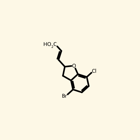 O=C(O)/C=C/C1Cc2c(Br)ccc(Cl)c2O1